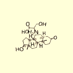 C[C@]12CCC(=O)C[C@@H]1CC[C@@H]1[C@@H]2CC[C@]2(C)[C@@H](O)CC[C@@H]12.NC(CO)C(=O)O